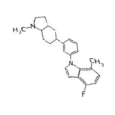 Cc1ccc(F)c2ccn(-c3cccc(C4CCC5C(CCN5C)C4)c3)c12